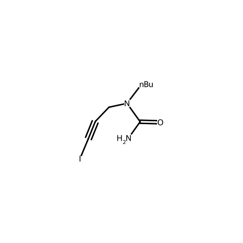 CCCCN(CC#CI)C(N)=O